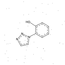 Oc1ccccc1-n1ccnn1